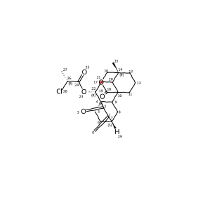 C=C1C(=O)[C@]23CC[C@H]1CC2C12CCC[C@@](C)(COC1=O)C2C[C@H]3OC(=O)[C@@H](C)Cl